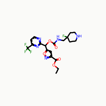 CCOC(=O)c1cc(C(OC(=O)NCC2(F)CCNCC2)c2nccc(C(F)(F)F)n2)on1